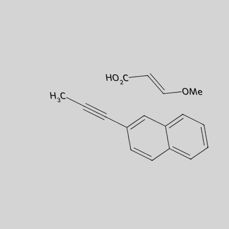 CC#Cc1ccc2ccccc2c1.COC=CC(=O)O